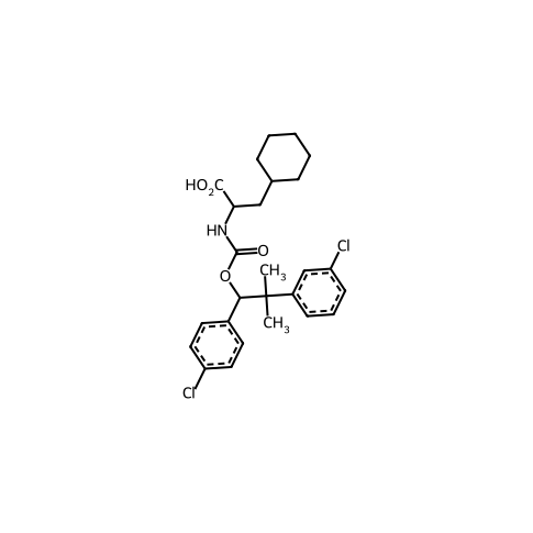 CC(C)(c1cccc(Cl)c1)C(OC(=O)NC(CC1CCCCC1)C(=O)O)c1ccc(Cl)cc1